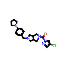 O=C(N1CC2CN(Cc3ccc(N4CCCC4)cc3)CC2C1)n1cc(Cl)cn1